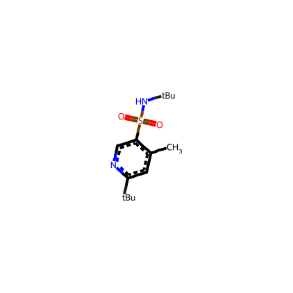 Cc1cc(C(C)(C)C)ncc1S(=O)(=O)NC(C)(C)C